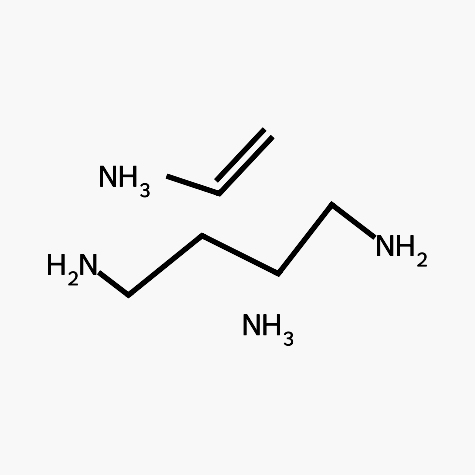 C=CC.N.N.NCCCCN